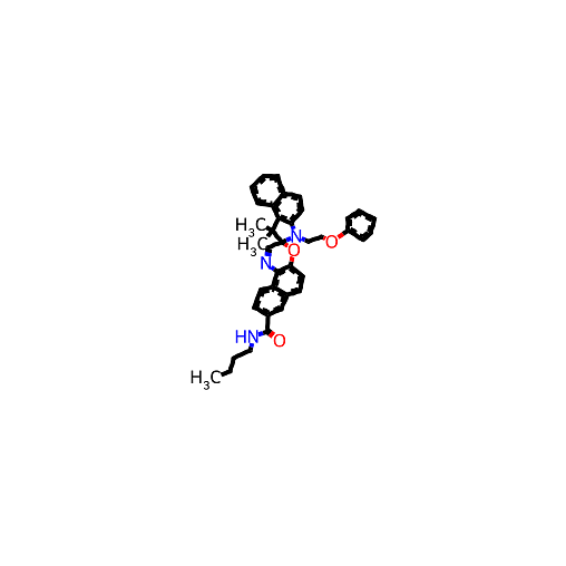 CCCCNC(=O)c1ccc2c3c(ccc2c1)OC1(C=N3)N(CCOc2ccccc2)c2ccc3ccccc3c2C1(C)C